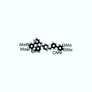 COc1cc(-c2cccc(CN3CCC(N(Cc4ccnc(-c5cc(OC)c(OC)c(OC)c5)c4)c4ccc(Cl)cc4)CC3)c2)cc(OC)c1OC